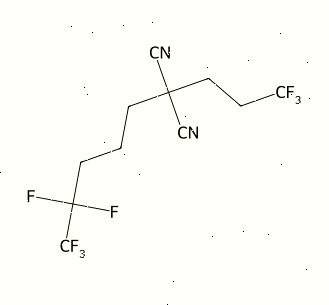 N#CC(C#N)(CCCC(F)(F)C(F)(F)F)CCC(F)(F)F